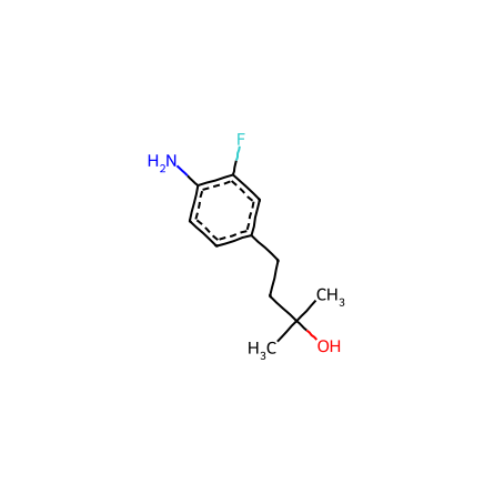 CC(C)(O)CCc1ccc(N)c(F)c1